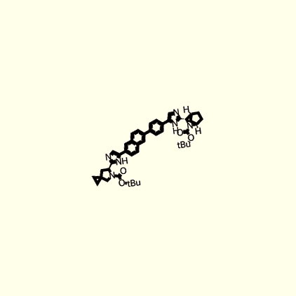 CC(C)(C)OC(=O)N1CC2(CC2)C[C@H]1c1ncc(-c2ccc3cc(-c4ccc(-c5cnc([C@@H]6[C@H]7CC[C@H](C7)N6C(=O)OC(C)(C)C)[nH]5)cc4)ccc3c2)[nH]1